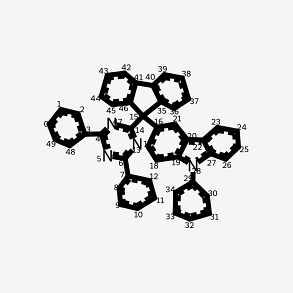 c1ccc(-c2nc(-c3ccccc3)nc(C3(c4ccc5c(c4)c4ccccc4n5-c4ccccc4)c4ccccc4-c4ccccc43)n2)cc1